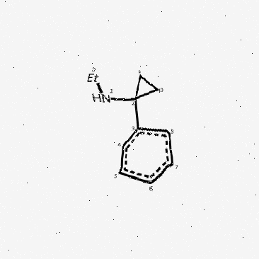 CCNC1(c2ccccc2)CC1